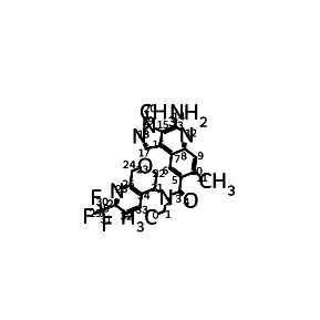 CCN(C(=O)c1cc2c(cc1C)nc(N)c1c2cnn1C)[C@@H]1COCc2nc(C(F)(F)F)ccc21